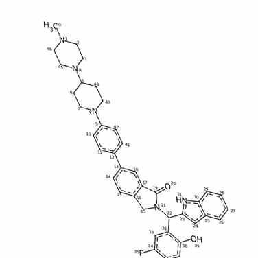 CN1CCN(C2CCN(c3ccc(-c4ccc5c(c4)C(=O)N(C(c4cc6ccccc6[nH]4)c4cc(F)ccc4O)C5)cc3)CC2)CC1